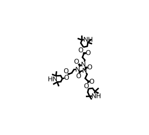 CC1(C)CC(OC(=O)CCn2c(=O)n(CCC(=O)OC3CC(C)(C)NC(C)(C)C3)c(=O)n(CCC(=O)OC3CC(C)(C)NC(C)(C)C3)c2=O)CC(C)(C)N1